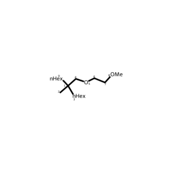 CCCCCCC(C)(CCCCCC)COCCOC